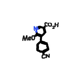 COc1ncc(C(=O)O)cc1-c1ccc(C#N)cc1